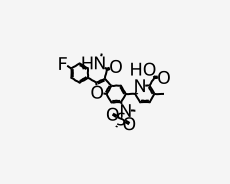 CNC(=O)c1c(-c2ccc(F)cc2)oc2cc(N(C)S(C)(=O)=O)c(-c3ccc(C)c(C(=O)O)n3)cc12